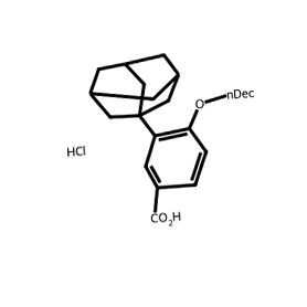 CCCCCCCCCCOc1ccc(C(=O)O)cc1C12CC3CC(CC(C3)C1)C2.Cl